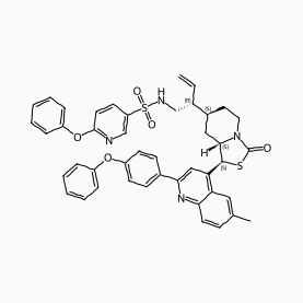 C=C[C@@H](CNS(=O)(=O)c1ccc(Oc2ccccc2)nc1)[C@H]1CCN2C(=O)S[C@@H](c3cc(-c4ccc(Oc5ccccc5)cc4)nc4ccc(C)cc34)[C@@H]2C1